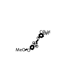 COCCOc1ccc(S(=O)(=O)CCCOc2ccc(O)c(C(=O)O)c2)cc1